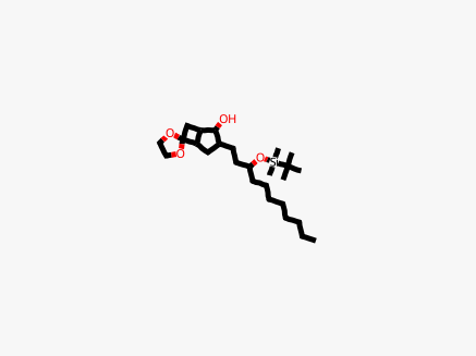 CCCCCCCCC(CCC1CC2C(CC23OCCO3)C1O)O[Si](C)(C)C(C)(C)C